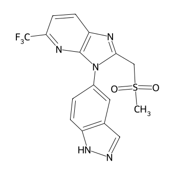 CS(=O)(=O)Cc1nc2ccc(C(F)(F)F)nc2n1-c1ccc2[nH]ncc2c1